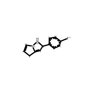 Fc1ccc(C2C=C3CC=CN3N2)cc1